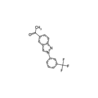 CC(=O)c1ccc2nn(-c3cccc(C(F)(F)F)c3)cc2c1